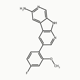 COc1cc(F)ccc1-c1cnc2[nH]c3cnc(N)cc3c2c1